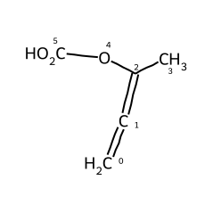 C=C=C(C)OC(=O)O